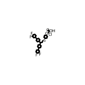 O=C(O)C(Cl)Oc1ccc(SCC=C(c2ccc(-c3ccc(F)c(F)c3)cc2)c2ccc(-c3ccc(F)c(F)c3)cc2)cc1